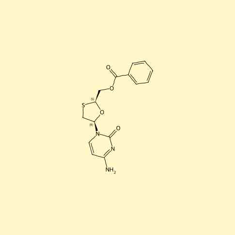 Nc1ccn([C@H]2CS[C@@H](COC(=O)c3ccccc3)O2)c(=O)n1